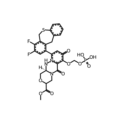 COC(=O)C1CN2C(=O)c3c(OCOP(=O)(O)O)c(=O)cc(-c4cc(F)c(F)c5c4Cc4ccccc4SC5)n3N[C@@H]2CO1